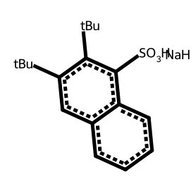 CC(C)(C)c1cc2ccccc2c(S(=O)(=O)O)c1C(C)(C)C.[NaH]